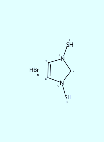 Br.SN1C=CN(S)C1